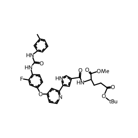 COC(=O)C(CCC(=O)OC(C)(C)C)NC(=O)c1c[nH]c(-c2cc(Oc3ccc(NC(=O)Nc4cccc(C)c4)c(F)c3)ccn2)c1